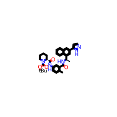 Cc1ccc(NC(=O)[C@H]2CCCCN2C(=O)OC(C)(C)C)cc1C(=O)N[C@H](C)c1cc(-c2ccn[nH]2)cc2ccccc12